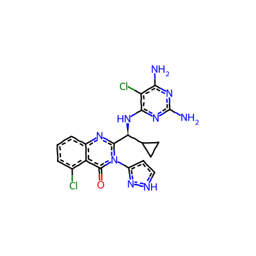 Nc1nc(N)c(Cl)c(N[C@H](c2nc3cccc(Cl)c3c(=O)n2-c2cc[nH]n2)C2CC2)n1